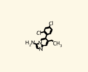 CCc1cc2ncc(N)n2cc1-c1ccc(Cl)cc1Cl